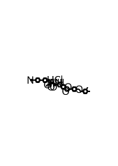 COC(=O)C(Cc1ccc(-c2ccc(C#N)cc2)cc1)NC(=O)C1Cc2cc3c(cc2CN1)OC(c1ccc(OCc2ccc(C)c(C)c2)cc1)CO3.Cl